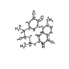 Cc1ccc2c(=O)[nH]c(CN(C)CC(=O)N(C)c3ccc(Cl)c(Cl)c3)nc2c1